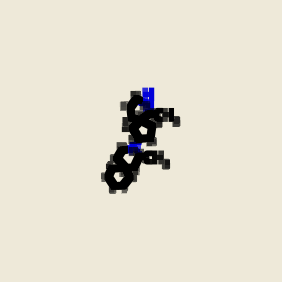 CC1CC2(CCCCC2)CCN1C1CCC2(CCCNC2C)C1